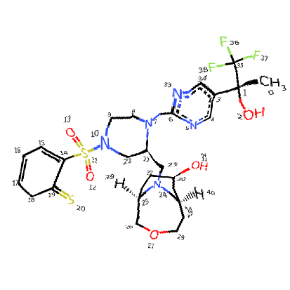 C[C@@](O)(c1cnc(N2CCN(S(=O)(=O)C3=CC=CCC3=S)C[C@@H]2CN2[C@H]3COC[C@@H]2[C@H](O)C3)nc1)C(F)(F)F